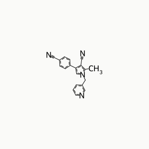 Cc1c(C#N)c(-c2ccc(C#N)cc2)cn1Cc1cccnc1